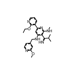 CCOc1ncccc1-c1cc(NCc2ccnc(OC)c2)c(C(=N)C(C)C)c(NC)n1